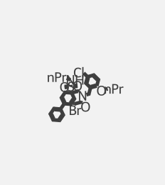 CCCNS(=O)(=O)C1(CN(Cc2cc(Cl)ccc2OCCC)C(=O)CBr)C=CC(c2ccccc2)=CC1